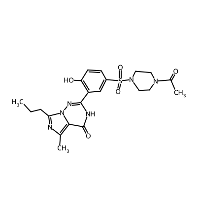 CCCc1nc(C)c2c(=O)[nH]c(-c3cc(S(=O)(=O)N4CCN(C(C)=O)CC4)ccc3O)nn12